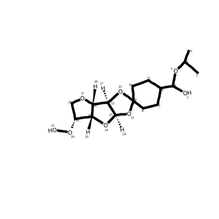 CC(C)OC(O)C1CCC2(CC1)O[C@H]1O[C@H]3[C@H](OC[C@H]3OO)[C@H]1O2